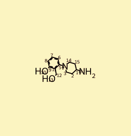 NC1CCN(c2cccc(O)c2CO)CC1